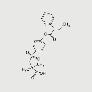 CCC(C(=O)Oc1ccc(S(=O)(=O)CC(C)(C)C(=O)O)cc1)c1ccccc1